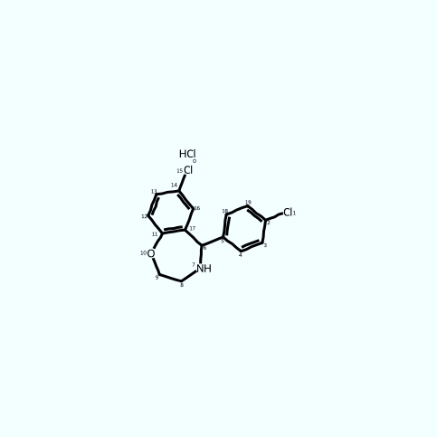 Cl.Clc1ccc(C2NCCOc3ccc(Cl)cc32)cc1